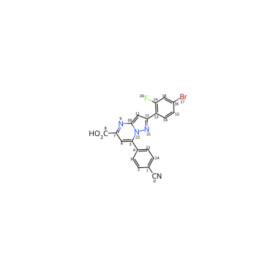 N#Cc1ccc(-c2cc(C(=O)O)nc3cc(-c4ccc(Br)cc4F)nn23)cc1